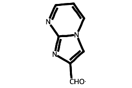 O=[C]c1cn2cccnc2n1